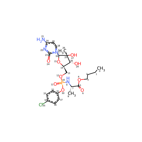 CCCCOC(=O)[C@H](C)NP(=O)(OC[C@H]1O[C@@H](n2ccc(N)nc2=O)[C@](C)(O)[C@@H]1O)Oc1ccc(Cl)cc1